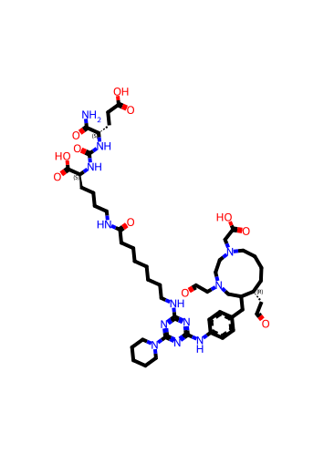 NC(=O)[C@H](CCC(=O)O)NC(=O)N[C@@H](CCCCNC(=O)CCCCCCCNc1nc(Nc2ccc(CC3CN(CC=O)CCN(CC(=O)O)CCCC[C@@H]3CC=O)cc2)nc(N2CCCCC2)n1)C(=O)O